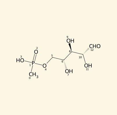 CP(=O)(O)OC[C@@H](O)[C@@H](O)[C@@H](O)C=O